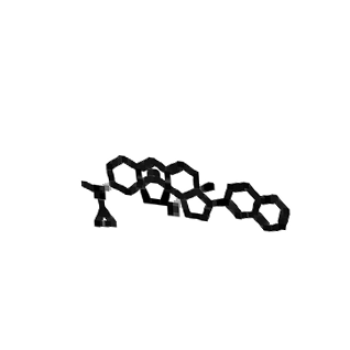 CN(C1CC1)[C@@H]1CCC2=CC3=CC[C@]4(C)[C@@H](c5ccc6ccccc6c5)CC[C@H]4[C@@]34CC[C@]2(C1)O4